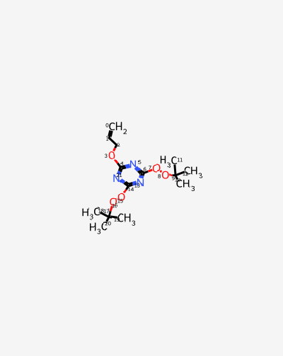 C=CCOc1nc(OOC(C)(C)C)nc(OOC(C)(C)C)n1